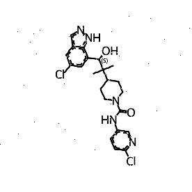 CC(C)(C1CCN(C(=O)Nc2ccc(Cl)nc2)CC1)[C@H](O)c1cc(Cl)cc2cn[nH]c12